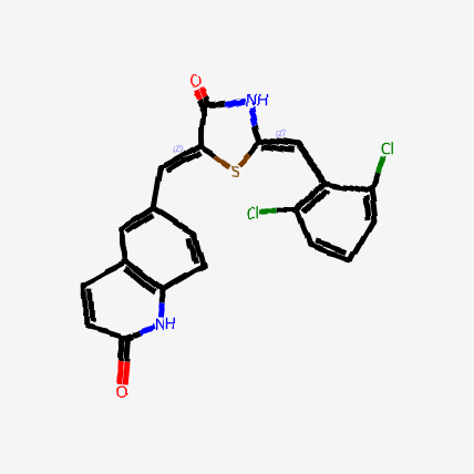 O=c1ccc2cc(/C=c3\s/c(=C\c4c(Cl)cccc4Cl)[nH]c3=O)ccc2[nH]1